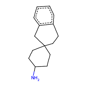 NC1CCC2(CCc3ccccc3C2)CC1